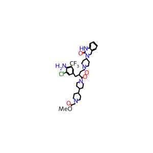 COC(=O)CN1CCC(C2CCN(C(=O)C(CC(=O)N3CCC(N4Cc5ccccc5NC4=O)CC3)Cc3cc(Cl)c(N)c(C(F)(F)F)c3)CC2)CC1